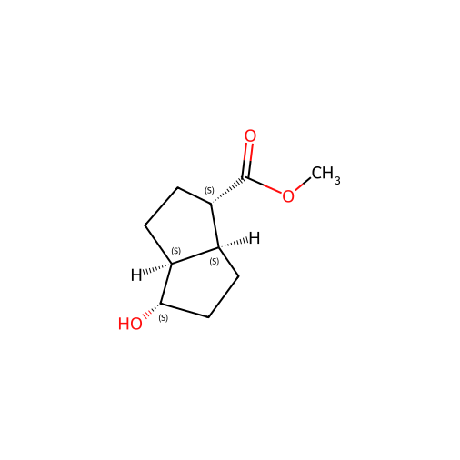 COC(=O)[C@H]1CC[C@H]2[C@@H]1CC[C@@H]2O